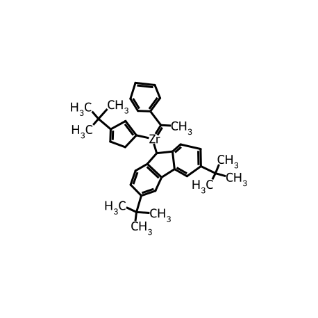 C[C](c1ccccc1)=[Zr]([C]1=CC(C(C)(C)C)=CC1)[CH]1c2ccc(C(C)(C)C)cc2-c2cc(C(C)(C)C)ccc21